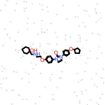 O=c1n(-c2ccc(OCCNCC3(O)CCCCC3)cc2)ccn1-c1ccc(OC2CCCC2)cc1